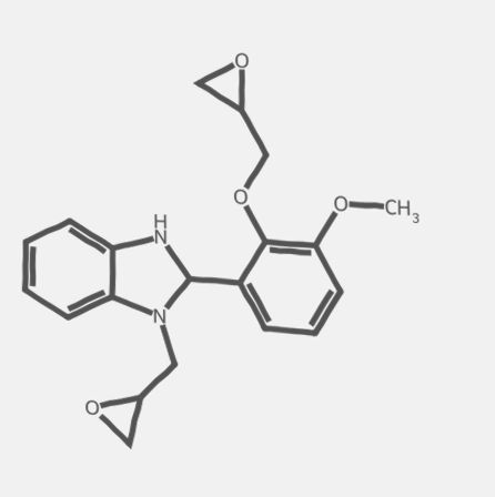 COc1cccc(C2Nc3ccccc3N2CC2CO2)c1OCC1CO1